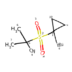 CC(C)(C)C1(S(=O)(=O)C(C)(C)C#N)CC1